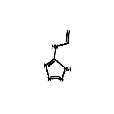 C=CNc1nnn[nH]1